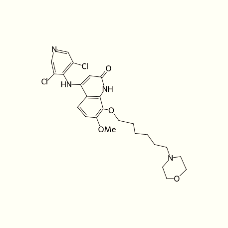 COc1ccc2c(Nc3c(Cl)cncc3Cl)cc(=O)[nH]c2c1OCCCCCCN1CCOCC1